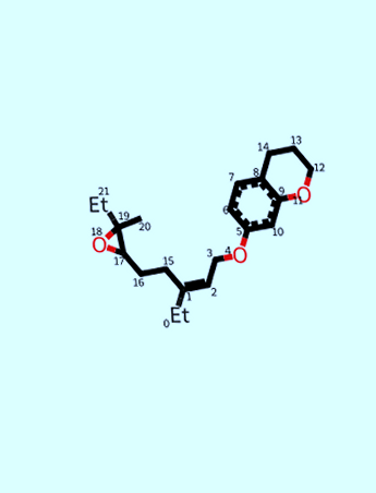 CCC(=CCOc1ccc2c(c1)OCCC2)CCC1OC1(C)CC